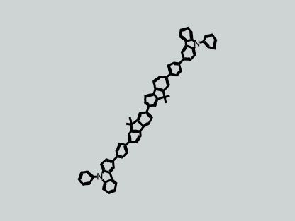 CC1(C)c2cc(-c3ccc(-c4ccc5c(c4)c4ccccc4n5-c4ccccc4)cc3)ccc2-c2ccc(-c3ccc4c(c3)C(C)(C)c3cc(-c5ccc(-c6ccc7c(c6)c6ccccc6n7-c6ccccc6)cc5)ccc3-4)cc21